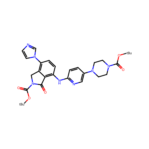 CC(C)(C)OC(=O)N1CCN(c2ccc(Nc3ccc(-n4ccnc4)c4c3C(=O)N(C(=O)OC(C)(C)C)C4)nc2)CC1